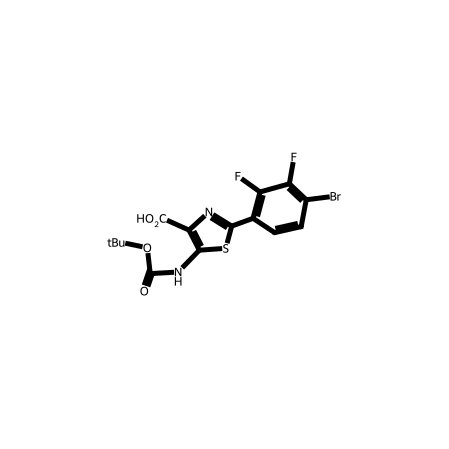 CC(C)(C)OC(=O)Nc1sc(-c2ccc(Br)c(F)c2F)nc1C(=O)O